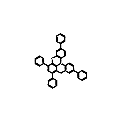 S=P12c3ccc(-c4ccccc4)cc3Oc3c(-c4ccccc4)cc(-c4ccccc4)c(c31)Oc1cc(-c3ccccc3)ccc12